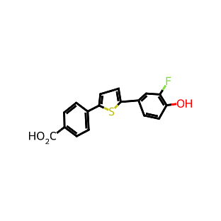 O=C(O)c1ccc(-c2ccc(-c3ccc(O)c(F)c3)s2)cc1